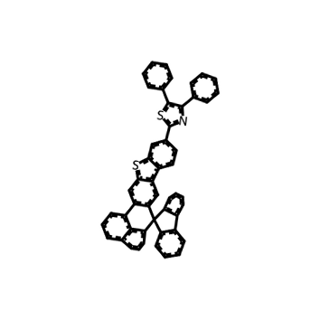 c1ccc(-c2nc(-c3ccc4c(c3)sc3cc5c(cc34)C3(c4ccccc4-c4ccccc43)c3cccc4cccc-5c34)sc2-c2ccccc2)cc1